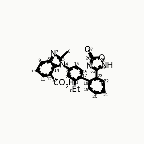 CCc1cc(-n2c(C)nc3cccc(C(=O)O)c32)ccc1-c1ccccc1-c1nc(=O)o[nH]1